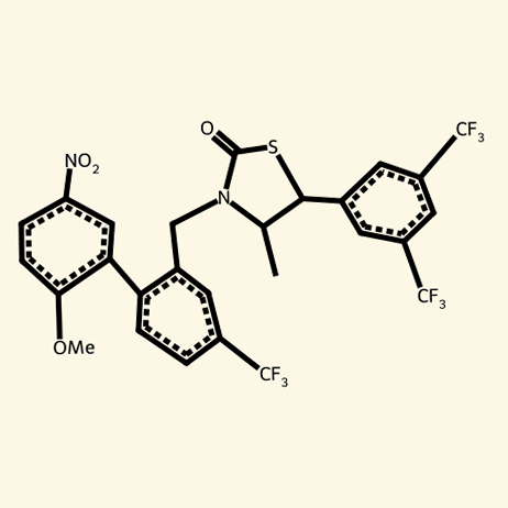 COc1ccc([N+](=O)[O-])cc1-c1ccc(C(F)(F)F)cc1CN1C(=O)SC(c2cc(C(F)(F)F)cc(C(F)(F)F)c2)C1C